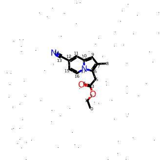 CCOC(=O)Cc1c(C)cc2cc(C#N)ccn12